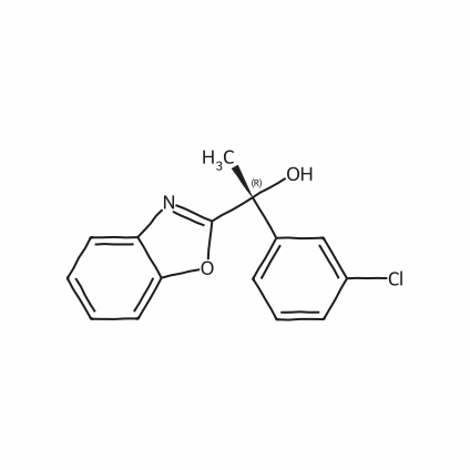 C[C@@](O)(c1cccc(Cl)c1)c1nc2ccccc2o1